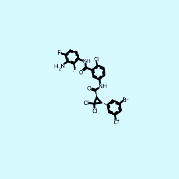 Nc1c(F)ccc(NC(=O)c2cc(NC(=O)[C@H]3[C@H](c4cc(Cl)cc(Br)c4)C3(Cl)Cl)ccc2Cl)c1F